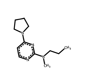 CCCN(C)c1nccc(N2CCCC2)n1